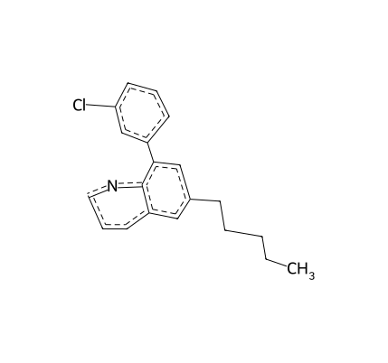 CCCCCc1cc(-c2cccc(Cl)c2)c2ncccc2c1